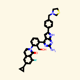 Nc1nc(-c2cccc(-n3ccc4cc(C5CC5)cc(F)c4c3=O)c2CO)c2cc(-c3ccc(CN4CCSC4)cc3)[nH]c2n1